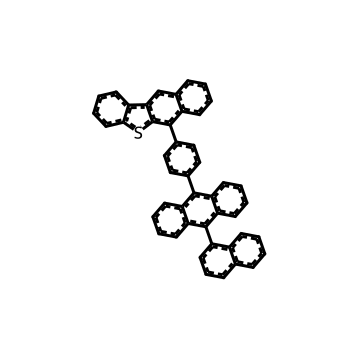 c1ccc2c(-c3c4ccccc4c(-c4ccc(-c5c6ccccc6cc6c5sc5ccccc56)cc4)c4ccccc34)cccc2c1